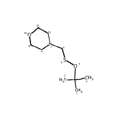 CC(C)(C)OSCN1CCOCC1